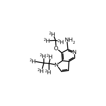 [2H]C([2H])([2H])Oc1c(N)ncc2ccn(C([2H])([2H])C([2H])([2H])[2H])c12